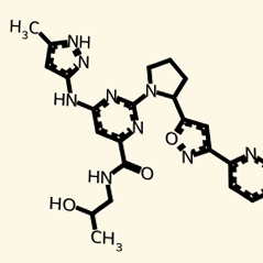 Cc1cc(Nc2cc(C(=O)NCC(C)O)nc(N3CCCC3c3cc(-c4ccccn4)no3)n2)n[nH]1